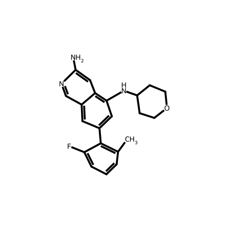 Cc1cccc(F)c1-c1cc(NC2CCOCC2)c2cc(N)ncc2c1